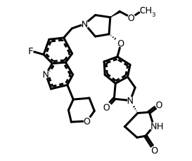 COC[C@@H]1CN(Cc2cc(F)c3ncc(C4CCOCC4)cc3c2)C[C@H]1Oc1ccc2c(c1)CN([C@H]1CCC(=O)NC1=O)C2=O